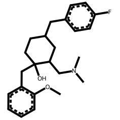 COc1ccccc1CC1(O)CCC(Cc2ccc(F)cc2)CC1CN(C)C